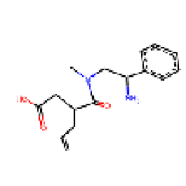 C=CCC(CC(=O)O)C(=O)N(C)CC(N)c1ccccc1